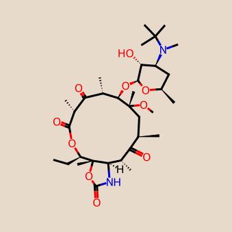 CC[C@H]1OC(=O)[C@H](C)C(=O)[C@H](C)[C@@H](O[C@@H]2O[C@H](C)C[C@H](N(C)C(C)(C)C)[C@H]2O)[C@](C)(OC)C[C@@H](C)C(=O)[C@H](C)[C@H]2NC(=O)O[C@@]21C